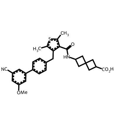 COc1cc(C#N)cc(-c2ccc(Cc3c(C)sc(C)c3C(=O)NC3CC4(C3)CC(C(=O)O)C4)cc2)c1